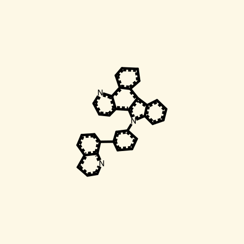 c1cc(-c2cccc3cccnc23)cc(-n2c3ccccc3c3c4ccccc4c4ncccc4c32)c1